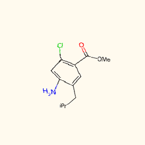 COC(=O)c1cc(CC(C)C)c(N)cc1Cl